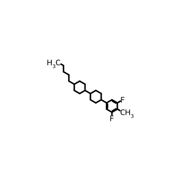 CCCCCC1CCC(C2CCC(c3cc(F)c(C)c(F)c3)CC2)CC1